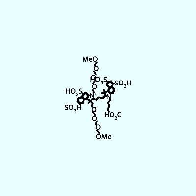 COCCOCCOCCOCC[N+]1=C(/C=C/C=C2/N(CCCCCC(=O)O)c3ccc4c(S(=O)(=O)O)cc(S(=O)(=O)O)cc4c3C2(C)C)C(C)(CCOCCOCCOCCOC)c2c1cc(S(=O)(=O)O)c1ccc(S(=O)(=O)O)cc21